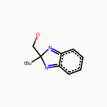 CC(C)(C)C1(C[O])N=c2ccccc2=N1